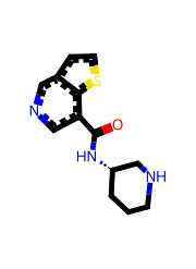 O=C(N[C@H]1CCCNC1)c1cncc2ccsc12